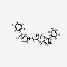 Cn1c(SCCCN2CC[C@]3(C[C@@H]3c3ccccc3)C2)nnc1-c1cccnc1